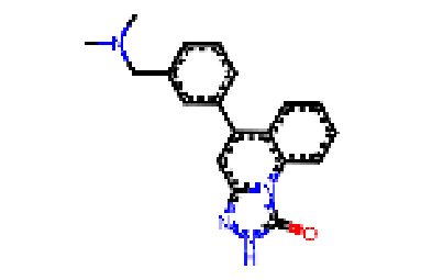 CN(C)Cc1cccc(-c2cc3n[nH]c(=O)n3c3ccccc23)c1